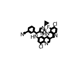 N#Cc1cccc(C(Nc2cc(Cl)c3ncc(C#N)c(Nc4c(F)ccc(Cl)c4F)c3c2)c2cn(C3CC3)nn2)c1